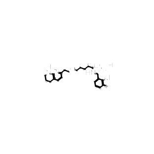 O=C(NC(CCCCOCCc1ccc2c(n1)NCCC2)C(=O)O)c1cccc(F)c1Cl